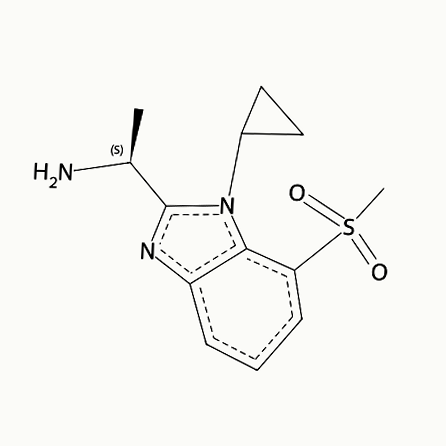 C[C@H](N)c1nc2cccc(S(C)(=O)=O)c2n1C1CC1